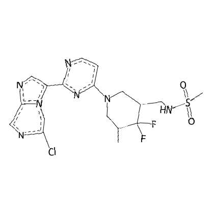 CC1CN(c2ccnc(-c3cnc4cnc(Cl)cn34)n2)CC(CNS(C)(=O)=O)C1(F)F